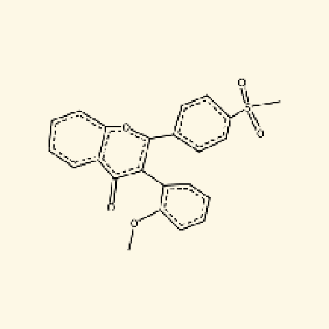 COc1ccccc1-c1c(-c2ccc(S(C)(=O)=O)cc2)oc2ccccc2c1=O